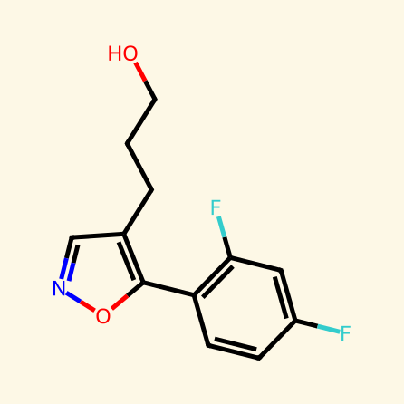 OCCCc1cnoc1-c1ccc(F)cc1F